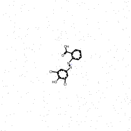 O=C(O)c1ccccc1/N=N/c1cc(Cl)c(O)c(Cl)c1